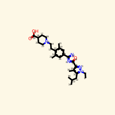 CCn1nc(-c2nc(-c3cc(C)c(CCN4CCC(C(=O)O)CC4)c(C)c3)no2)c(C)c1CC(C)C